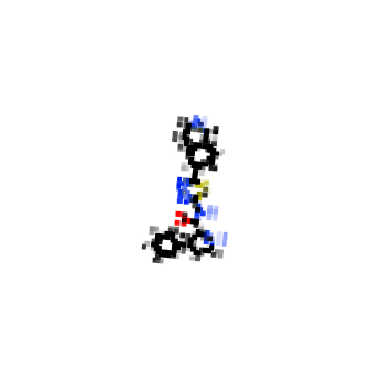 O=C(Nc1nnc(-c2ccc3cnccc3c2)s1)[C@H]1NCC[C@H]1c1ccccc1